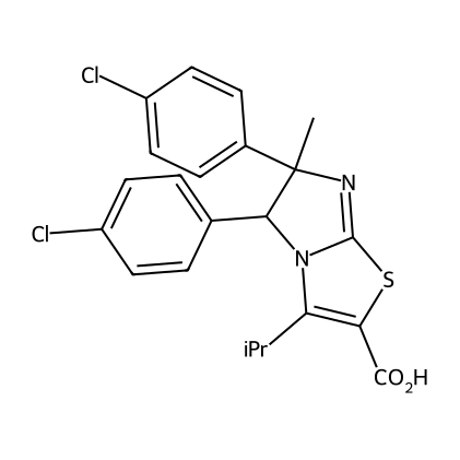 CC(C)C1=C(C(=O)O)SC2=NC(C)(c3ccc(Cl)cc3)C(c3ccc(Cl)cc3)N21